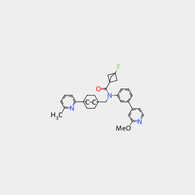 COc1cc(-c2cccc(N(CC34CCC(c5cccc(C)n5)(CC3)CC4)C(=O)C34CC(F)(C3)C4)c2)ccn1